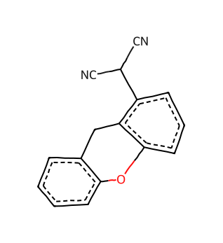 N#CC(C#N)c1cccc2c1Cc1ccccc1O2